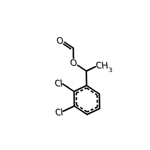 CC(OC=O)c1cccc(Cl)c1Cl